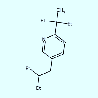 CCC(CC)Cc1cnc(C(C)(CC)CC)nc1